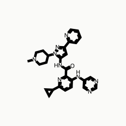 CN1CCC(n2nc(-c3ccccn3)cc2NC(=O)c2nc(C3CC3)ccc2Nc2cncnc2)CC1